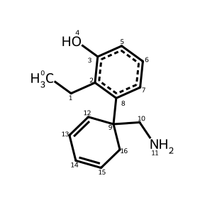 CCc1c(O)cccc1C1(CN)C=CC=CC1